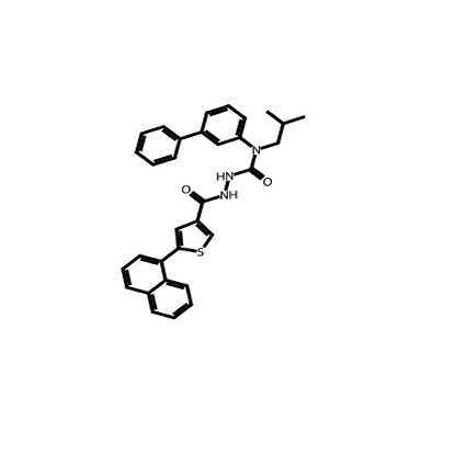 CC(C)CN(C(=O)NNC(=O)c1csc(-c2cccc3ccccc23)c1)c1cccc(-c2ccccc2)c1